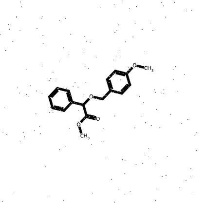 COC(=O)C(OCc1ccc(OC)cc1)c1ccccc1